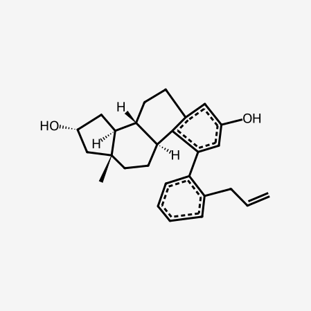 C=CCc1ccccc1-c1cc(O)cc2c1[C@H]1CC[C@]3(C)C[C@H](O)C[C@H]3[C@@H]1CC2